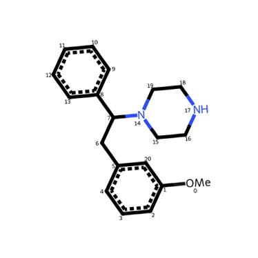 COc1cccc(CC(c2ccccc2)N2CCNCC2)c1